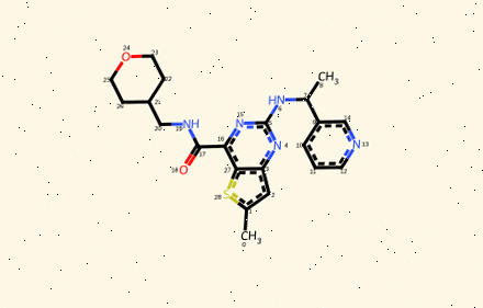 Cc1cc2nc(NC(C)c3cccnc3)nc(C(=O)NCC3CCOCC3)c2s1